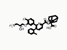 Cc1ccccc1-c1ccc(C(=O)NC2(C(=O)O)C3CC4CC(C3)CC2C4)nc1-c1ccc(Cl)c(OC[C@H](O)CN)c1